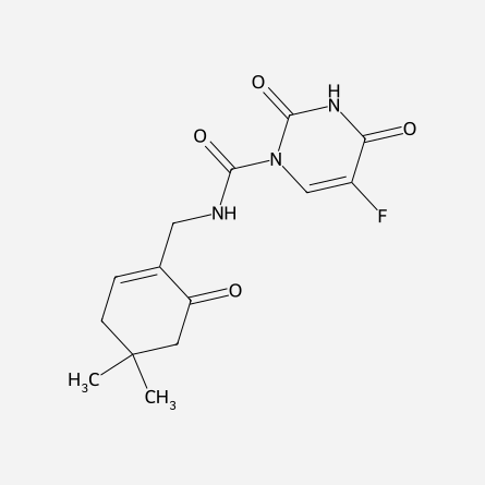 CC1(C)CC=C(CNC(=O)n2cc(F)c(=O)[nH]c2=O)C(=O)C1